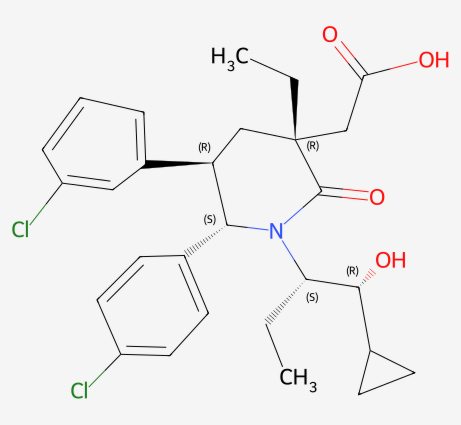 CC[C@@H]([C@H](O)C1CC1)N1C(=O)[C@@](CC)(CC(=O)O)C[C@H](c2cccc(Cl)c2)[C@H]1c1ccc(Cl)cc1